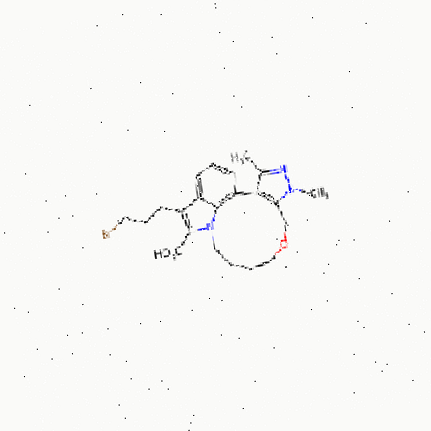 Cc1nn(C)c2c1-c1cccc3c(CCCBr)c(C(=O)O)n(c13)CCCCOC2